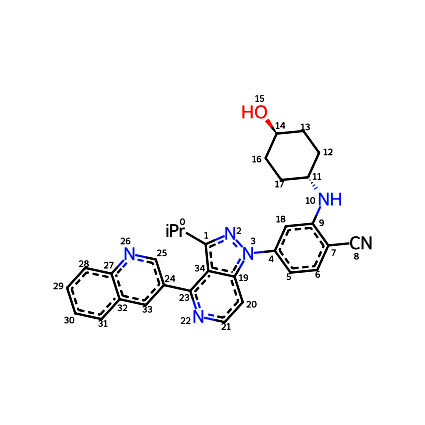 CC(C)c1nn(-c2ccc(C#N)c(N[C@H]3CC[C@H](O)CC3)c2)c2ccnc(-c3cnc4ccccc4c3)c12